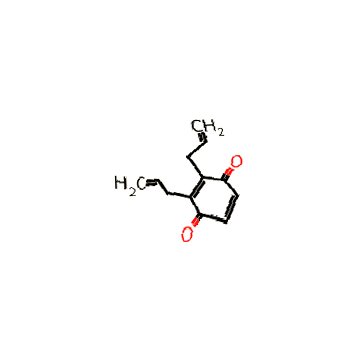 C=CCC1=C(CC=C)C(=O)C=CC1=O